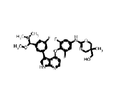 COC(c1cc(F)cc(-c2c[nH]c3nccc(Oc4c(F)cc(NC5=NCC(C)(CO)CO5)cc4F)c23)c1)N(C)C